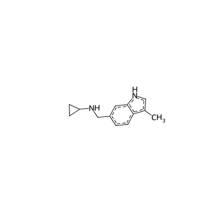 Cc1c[nH]c2cc(CNC3CC3)ccc12